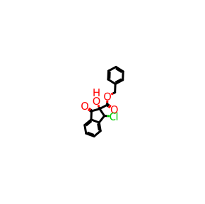 O=C(OCc1ccccc1)C1(O)C(=O)c2ccccc2C1Cl